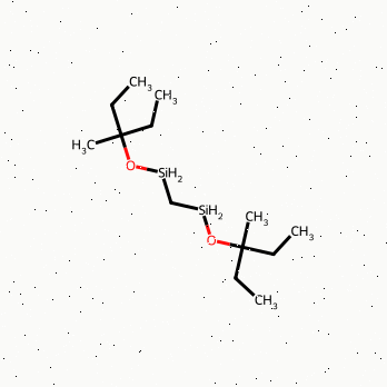 CCC(C)(CC)O[SiH2]C[SiH2]OC(C)(CC)CC